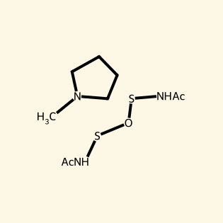 CC(=O)NSOSNC(C)=O.CN1CCCC1